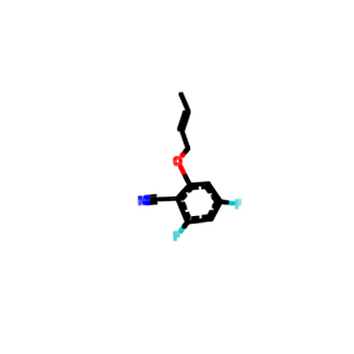 CC=CCOc1cc(F)cc(F)c1C#N